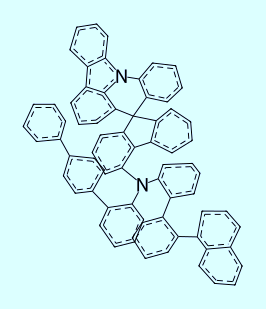 c1ccc(-c2ccc(-c3ccccc3N(c3ccccc3-c3ccccc3-c3cccc4ccccc34)c3cccc4c3-c3ccccc3C43c4ccccc4-n4c5ccccc5c5cccc3c54)cc2)cc1